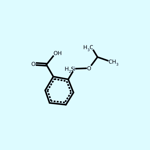 CC(C)O[SiH2]c1ccccc1C(=O)O